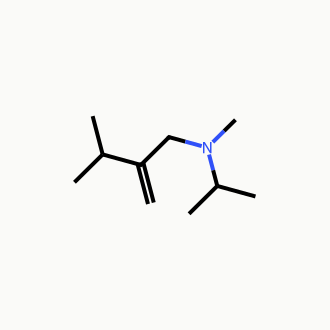 C=C(CN(C)C(C)C)C(C)C